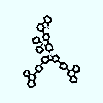 c1ccc([Si]2(c3ccccc3)c3cc(-c4cccc5c4sc4ccccc45)ccc3-c3ccc(-n4c5ccc(-c6ccc(-c7cc8ccccc8c8ccccc78)cc6)cc5c5cc(-c6ccc(-c7cc8ccccc8c8ccccc78)cc6)ccc54)cc32)cc1